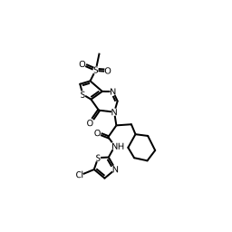 CS(=O)(=O)c1csc2c(=O)n(C(CC3CCCCC3)C(=O)Nc3ncc(Cl)s3)cnc12